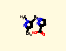 Cc1cc(C)n(C)n1.O=C(O)c1cc[nH]n1